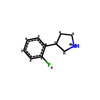 Fc1ccccc1[C]1CCNC1